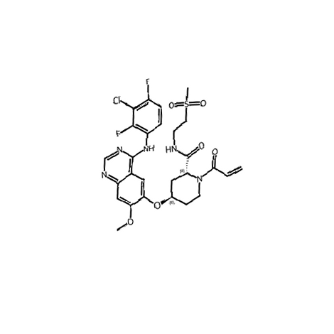 C=CC(=O)N1CC[C@@H](Oc2cc3c(Nc4ccc(F)c(Cl)c4F)ncnc3cc2OC)C[C@@H]1C(=O)NCCS(C)(=O)=O